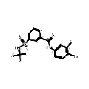 CCC(C)(C)NS(=O)(=O)c1cccc(C(=O)Nc2ccc(F)c(C)c2)c1